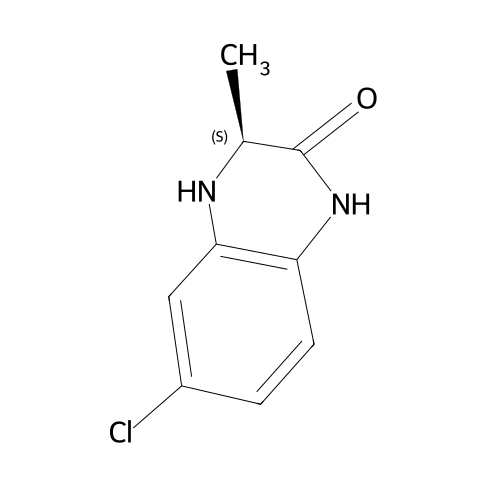 C[C@@H]1Nc2cc(Cl)ccc2NC1=O